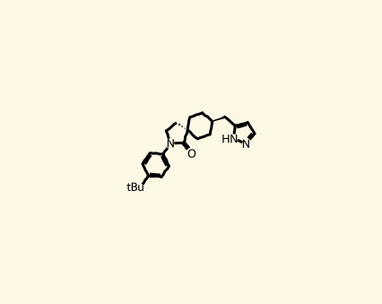 CC(C)(C)c1ccc(N2CC[C@]3(CC[C@H](Cc4ccn[nH]4)CC3)C2=O)cc1